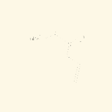 C=CCN(CCCCCC)C(C)C